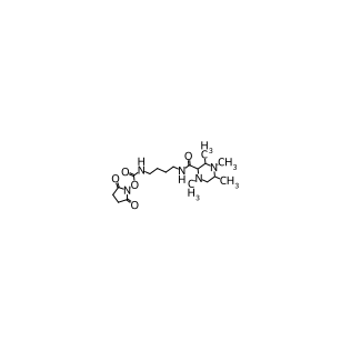 CC1CN(C)C(C(=O)NCCCCNC(=O)ON2C(=O)CCC2=O)C(C)N1C